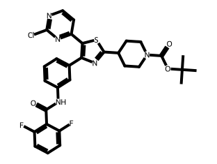 CC(C)(C)OC(=O)N1CCC(c2nc(-c3cccc(NC(=O)c4c(F)cccc4F)c3)c(-c3ccnc(Cl)n3)s2)CC1